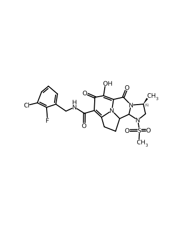 C[C@H]1CN(S(C)(=O)=O)C2C3CCc4c(C(=O)NCc5cccc(Cl)c5F)c(=O)c(O)c(n43)C(=O)N21